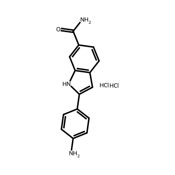 Cl.Cl.NC(=O)c1ccc2cc(-c3ccc(N)cc3)[nH]c2c1